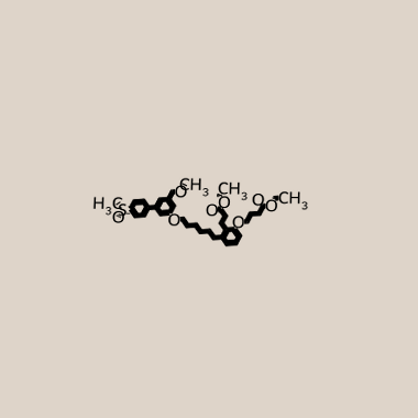 CCOC(=O)CCCOc1cccc(CCCCCCOc2cc(COC)cc(-c3ccc([S+](C)[O-])cc3)c2)c1CCC(=O)OCC